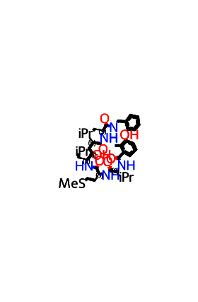 CSCC[C@H](NC(=O)[C@@H](NC(=O)c1cccc(O)c1C)C(C)C)C(=O)N[C@@H](CC(C)C)[C@@H](O)C[C@@H](C)C(=O)N[C@@H](CC(C)C)C(=O)NCc1ccccc1